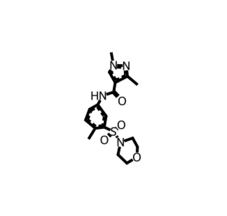 Cc1ccc(NC(=O)c2cn(C)nc2C)cc1S(=O)(=O)N1CCOCC1